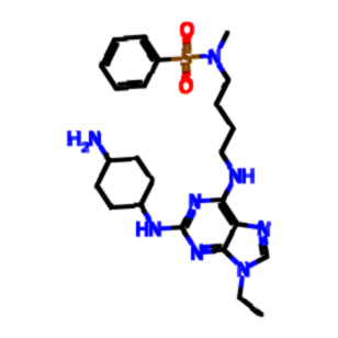 CCn1cnc2c(NCCCCN(C)S(=O)(=O)c3ccccc3)nc(NC3CCC(N)CC3)nc21